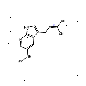 CC(=O)/C(C#N)=C/Cc1c[nH]c2ncc(NC(C)C)cc12